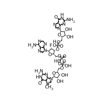 C[n+]1cn([C@H]2O[C@@H](COP(=O)(O)OP(=O)(O)OC[C@H]3O[C@@H](n4cnc5c(N)ncnc54)[C@H](F)[C@@H]3OP(=O)(O)OC[C@H]3O[C@@H](n4cnc5c(=O)[nH]c(N)nc54)[C@H](O)[C@@H]3O)[C@H](O)[C@@H]2O)c2nc(N)[nH]c(=O)c21